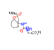 CC(C)(C)S(=O)(=O)CC1(NC(=O)NCC(=O)O)CCCCC1